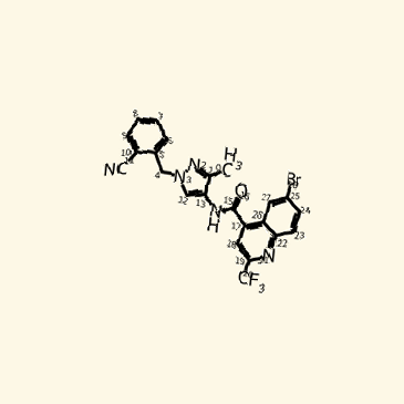 Cc1nn(Cc2ccccc2C#N)cc1NC(=O)c1cc(C(F)(F)F)nc2ccc(Br)cc12